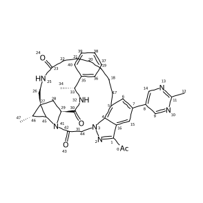 CC(=O)c1nn2c3c(cc(-c4cnc(C)nc4)cc13)CCCCCCC(=O)NC[C@@]13C[C@@H](C(=O)N[C@H](C)c4ccccc4)N(C(=O)C2)C1[C@@H]3C